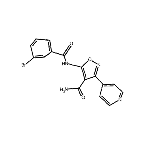 NC(=O)c1c(-c2ccncc2)noc1NC(=O)c1cccc(Br)c1